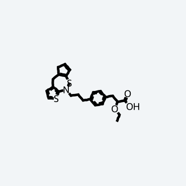 CCOC(Cc1ccc(CCCN2SC3=C(CC=C3)Cc3ccsc32)cc1)C(=O)O